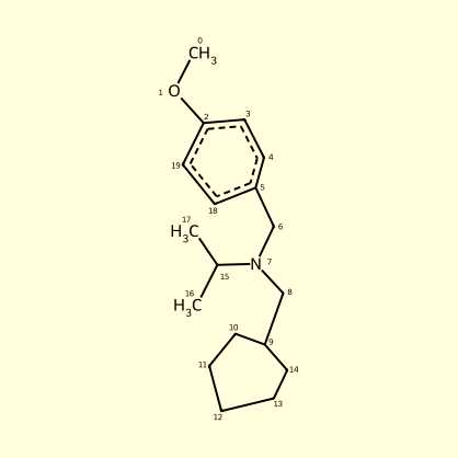 COc1ccc(CN(CC2CCCCC2)C(C)C)cc1